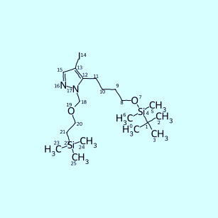 CC(C)(C)[Si](C)(C)OCCCCc1c(I)cnn1COCC[Si](C)(C)C